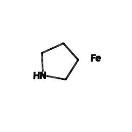 C1CCNC1.[Fe]